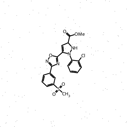 COC(=O)C1C=C(c2nc(-c3cccc(S(C)(=O)=O)c3)no2)N(c2ccccc2Cl)N1